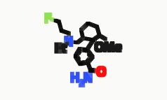 CCN(CCCF)CC1CCCC(C)C1(OC)c1cccc(C(N)=O)c1